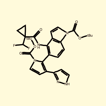 CC(C)(C)OC(=O)n1ccc(-c2cc[nH]n2)c1-c1ccc2c(ccn2C(=O)OC(C)(C)C)c1NC(=O)C1(C(F)F)CC1